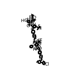 Cc1ncsc1-c1ccc(CNC(=O)[C@@H]2C[C@@H](O)CN2C(=O)[C@@H](NC(=O)C2(F)CC2)C(C)(C)C)c(OC2CCC(N3CCN(CC[C@H](CSc4ccccc4)Nc4ccc(S(=O)(=O)NC(=O)c5ccc(N6CCN(CC7=C(c8ccc(Cl)cc8)CCC(C)(C)C7)CC6)cc5)cc4S(=O)(=O)C(F)(F)F)CC3)CC2)c1